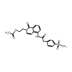 CC(=O)OCCn1ccc2c(NC(=O)Cc3ccc(S(C)(=O)=O)cc3)cccc2c1=O